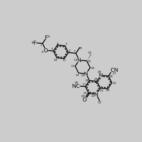 CC(c1ccc(OC(F)F)cc1)N1CCN(c2c(C#N)c(=O)n(C)c3ccc(C#N)nc23)C[C@H]1C